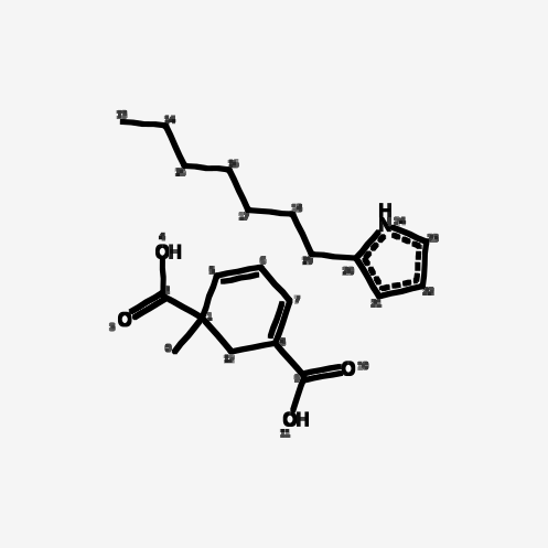 CC1(C(=O)O)C=CC=C(C(=O)O)C1.CCCCCCCc1ccc[nH]1